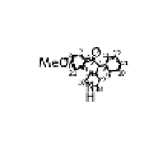 COc1ccc(C(=O)C(c2ccccc2)C2CCNCC2)cc1